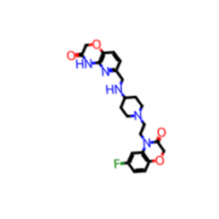 O=C1COc2ccc(CNC3CCN(CCN4C(=O)COc5ccc(F)cc54)CC3)nc2N1